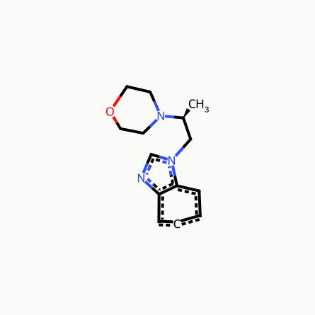 C[C@@H](Cn1cnc2ccccc21)N1CCOCC1